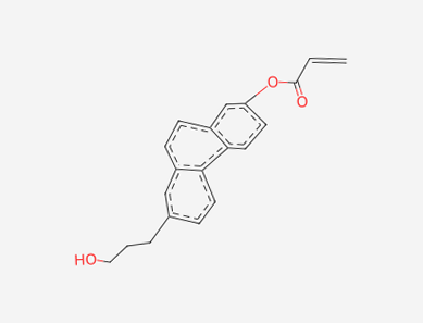 C=CC(=O)Oc1ccc2c(ccc3cc(CCCO)ccc32)c1